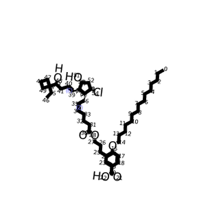 CCCCCCCCCCCCCCCOc1ccc(C(=O)O)cc1CCCOC(=O)CCC/C=C\C[C@@H]1[C@@H](/C=C/C[C@H](O)C2(CC)CCC2)[C@H](O)C[C@H]1Cl